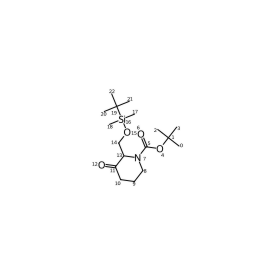 CC(C)(C)OC(=O)N1CCCC(=O)C1CO[Si](C)(C)C(C)(C)C